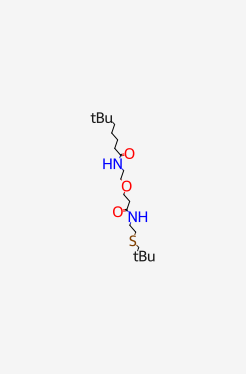 CC(C)(C)CCCCC(=O)NCCOCCC(=O)NCCSCC(C)(C)C